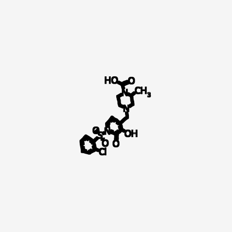 CC1CN(Cc2ccn(S(=O)(=O)c3ccccc3Cl)c(=O)c2O)CCN1C(=O)O